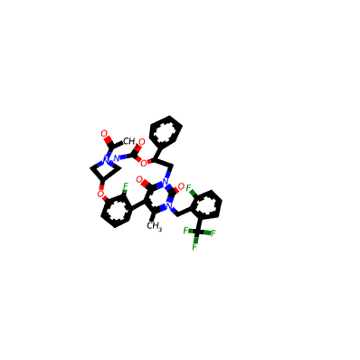 CC(=O)N1CC(Oc2cccc(-c3c(C)n(Cc4c(F)cccc4C(F)(F)F)c(=O)n(CC(OC(N)=O)c4ccccc4)c3=O)c2F)C1